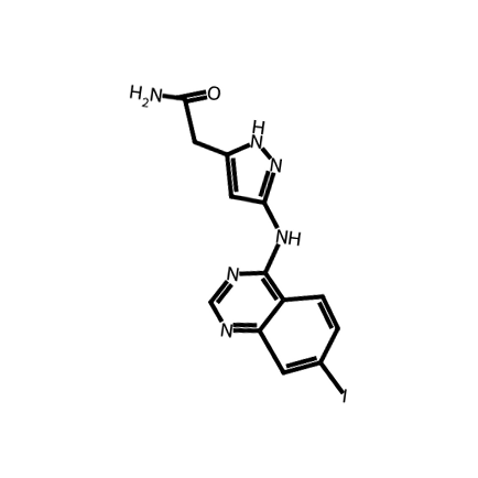 NC(=O)Cc1cc(Nc2ncnc3cc(I)ccc23)n[nH]1